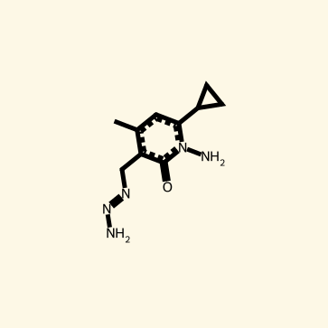 Cc1cc(C2CC2)n(N)c(=O)c1CN=NN